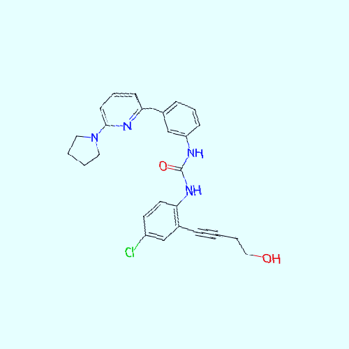 O=C(Nc1cccc(-c2cccc(N3CCCC3)n2)c1)Nc1ccc(Cl)cc1C#CCCO